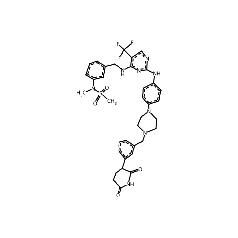 CN(c1cccc(CNc2nc(Nc3ccc(N4CCN(Cc5cccc(C6CCC(=O)NC6=O)c5)CC4)cc3)ncc2C(F)(F)F)c1)S(C)(=O)=O